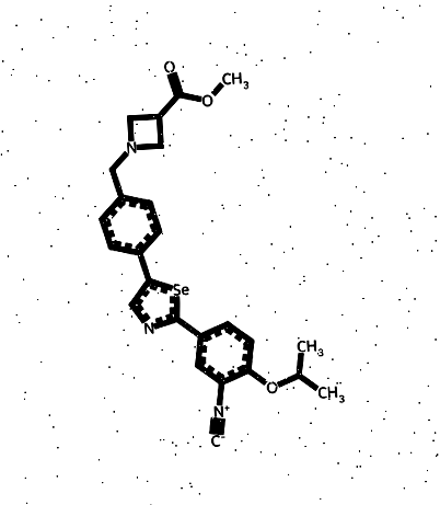 [C-]#[N+]c1cc(-c2ncc(-c3ccc(CN4CC(C(=O)OC)C4)cc3)[se]2)ccc1OC(C)C